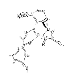 COc1cccc([C@H]2OC(=O)N[C@@H]2c2cccc(-c3ccnc(Cl)c3)c2)c1